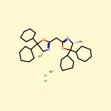 CC(C)[C@H]1N=C(CC2=N[C@H](C(C)C)C(C3CCCCC3)(C3CCCCC3)O2)OC1(C1CCCCC1)C1CCCCC1.[Br-].[Br-].[Ni+2]